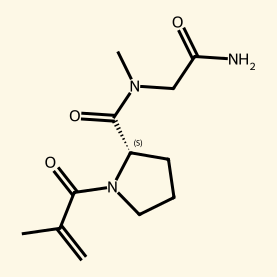 C=C(C)C(=O)N1CCC[C@H]1C(=O)N(C)CC(N)=O